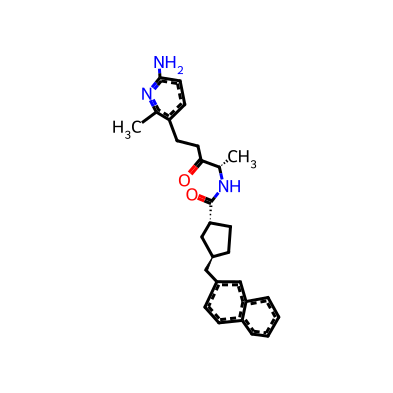 Cc1nc(N)ccc1CCC(=O)[C@H](C)NC(=O)[C@@H]1CC[C@@H](Cc2ccc3ccccc3c2)C1